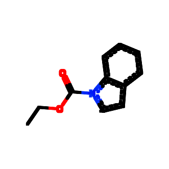 CCOC(=O)n1[c]cc2ccccc21